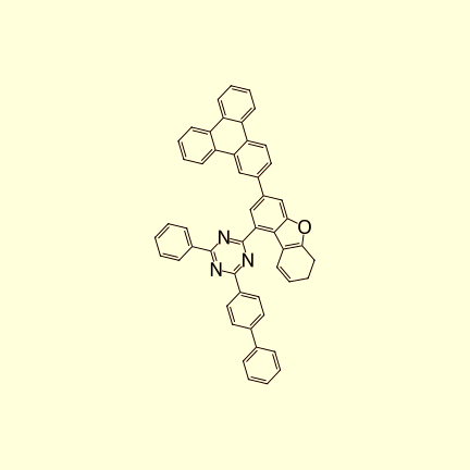 C1=Cc2c(oc3cc(-c4ccc5c6ccccc6c6ccccc6c5c4)cc(-c4nc(-c5ccccc5)nc(-c5ccc(-c6ccccc6)cc5)n4)c23)CC1